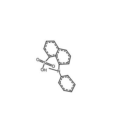 CN(c1ccccc1)c1cccc2cccc(S(=O)(=O)O)c12